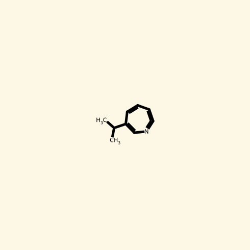 CC(C)C1=CN=C=CC=C1